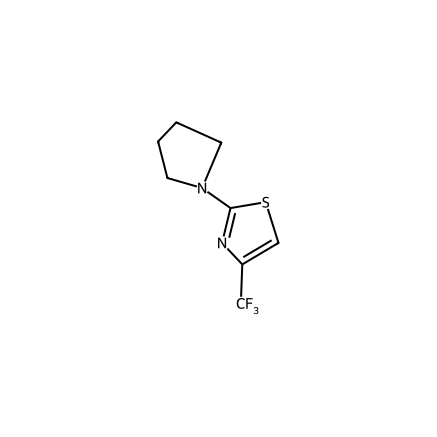 FC(F)(F)c1csc(N2CCCC2)n1